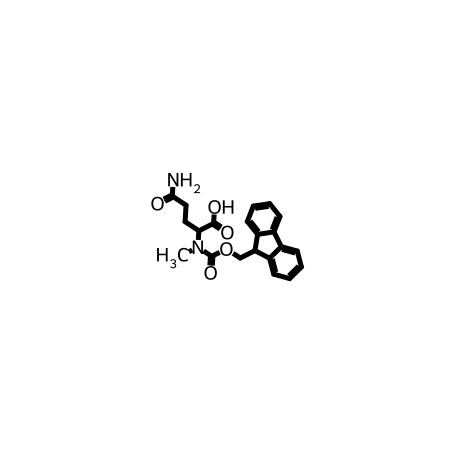 CN(C(=O)OCC1c2ccccc2-c2ccccc21)C(CCC(N)=O)C(=O)O